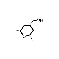 C[C@@H]1C[C@H](CO)C[C@H](C)O1